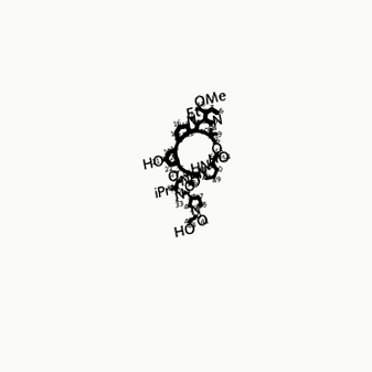 CCn1c(-c2cnccc2COC)c2c3cc(ccc31)-c1cc(O)cc(c1)C[C@H](NC(=O)[C@H](C(C)C)N(C)C(=O)[C@H]1CCN(C(=O)CO)C1)C(=O)N1CCC[C@H](N1)C(=O)OCC(C)(C)C2